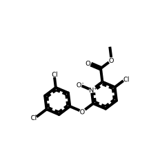 COC(=O)c1c(Cl)ccc(Oc2cc(Cl)cc(Cl)c2)[n+]1[O-]